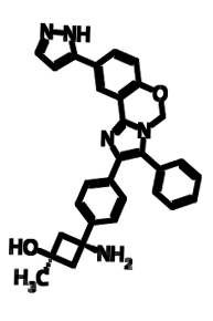 C[C@]1(O)C[C@](N)(c2ccc(-c3nc4n(c3-c3ccccc3)COc3ccc(-c5ccn[nH]5)cc3-4)cc2)C1